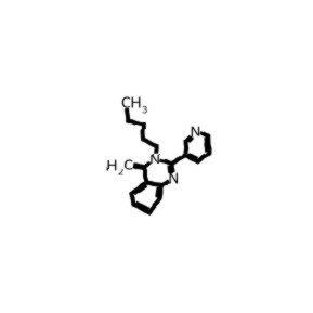 C=C1c2ccccc2N=C(c2cccnc2)N1CCCCC